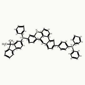 CC1(C)c2ccccc2-c2ccc(N(c3ccccc3)c3ccc4c(c3)Oc3cccc5c3c-4cc3ccc(-c4ccc(N(c6ccccc6)c6ccccc6)cc4)cc35)cc21